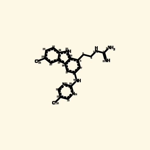 N=C(N)NCCc1cc(Nc2ncc(Cl)cn2)cc2c1[nH]c1ccc(Cl)cc12